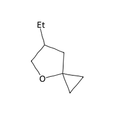 CCC1COC2(CC2)C1